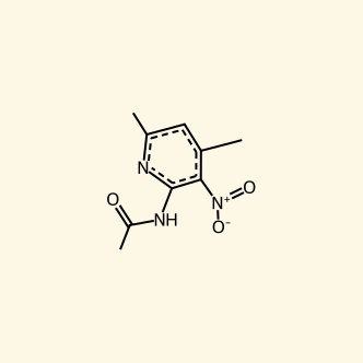 CC(=O)Nc1nc(C)cc(C)c1[N+](=O)[O-]